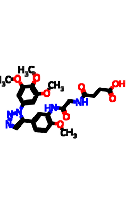 COc1ccc(-c2cnnn2-c2cc(OC)c(OC)c(OC)c2)cc1NC(=O)CNC(=O)CCC(=O)O